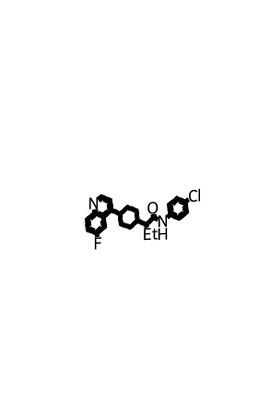 CCC(C(=O)Nc1ccc(Cl)cc1)C1CCC(c2ccnc3ccc(F)cc23)CC1